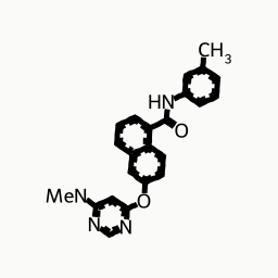 CNc1cc(Oc2ccc3c(C(=O)Nc4cccc(C)c4)cccc3c2)ncn1